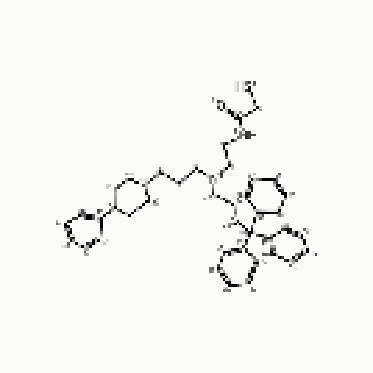 O=C(CS)NCCN(CCCN1CCC(c2ccccc2)CC1)CCSC(c1ccccc1)(c1ccccc1)c1ccccc1